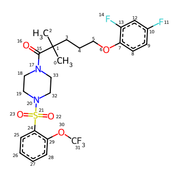 CC(C)(CCCOc1ccc(F)cc1F)C(=O)N1CCN(S(=O)(=O)c2ccccc2OC(F)(F)F)CC1